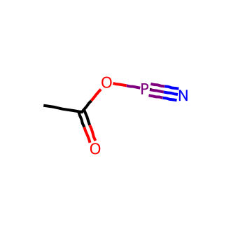 CC(=O)O[P]#N